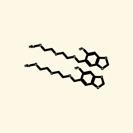 CCCCOCCOCCOCc1cc2c(cc1CCC)OCO2.CCCCOCCOCCOCc1cc2c(cc1CCC)OCO2